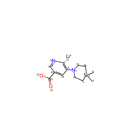 C[Si]1(C)CCN(c2cncc(C(=O)[O-])c2)CC1.[Li+]